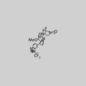 COc1nc(N[C@@H]2CCN(C3COC3)CC2(F)F)nn2ccc(-c3ccc4nnn([C@H](C)C(F)(F)F)c4c3)c12